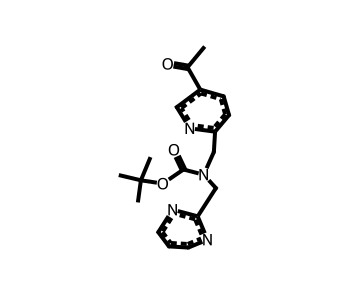 CC(=O)c1ccc(CN(Cc2ncccn2)C(=O)OC(C)(C)C)nc1